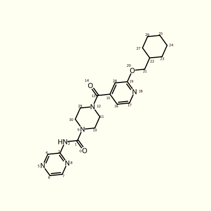 O=C(Nc1cnccn1)N1CCN(C(=O)c2ccnc(OCC3CCCCC3)c2)CC1